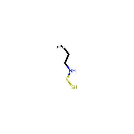 CCCCCNSS